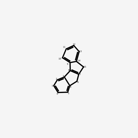 c1ccc2c(c1)CC1=C2c2ccccc2C1